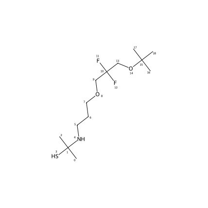 CC(C)(S)NCCCOCC(F)(F)COC(C)(C)C